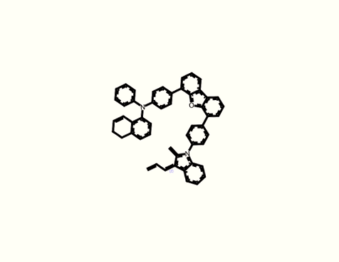 C=C/C=c1\c(=C)n(-c2ccc(-c3cccc4c3oc3c(-c5ccc(N(c6ccccc6)c6cccc7c6C=CCC7)cc5)cccc34)cc2)c2ccccc12